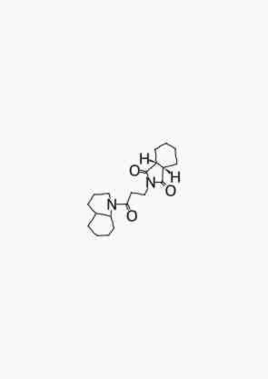 O=C1[C@H]2CCCC[C@H]2C(=O)N1CCC(=O)N1CCCC2CCCCC21